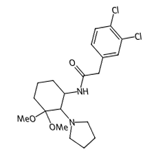 COC1(OC)CCCC(NC(=O)Cc2ccc(Cl)c(Cl)c2)C1N1CCCC1